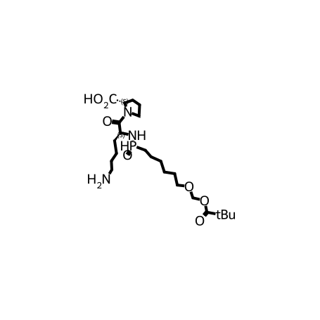 CC(C)(C)C(=O)OCOCCCCCC[PH](=O)N[C@@H](CCCCN)C(=O)N1CCC[C@H]1C(=O)O